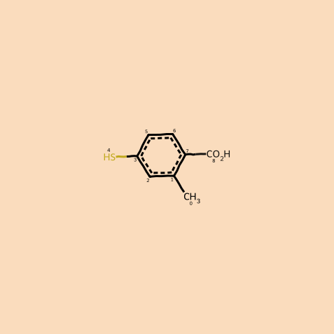 Cc1cc(S)ccc1C(=O)O